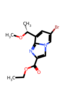 CCOC(=O)c1cn2cc(Br)cc([C@@H](C)OC)c2n1